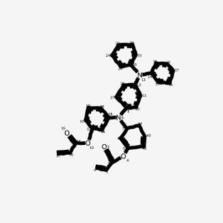 C=CC(=O)OC1=CC(N(c2ccc(N(c3ccccc3)c3ccccc3)cc2)c2cccc(OC(=O)C=C)c2)CC=C1